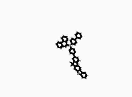 CC1(C)c2cc(-c3ccc(N(c4ccc(-c5ccccc5)cc4)c4cc5ccccc5c5ccccc45)cc3)ccc2-c2cc3c(cc21)oc1ccccc13